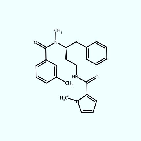 Cc1cccc(C(=O)N(C)[C@H](CCNC(=O)c2cccn2C)Cc2ccccc2)c1